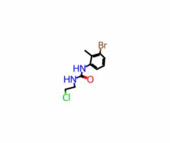 Cc1c(Br)cccc1NC(=O)NCCCl